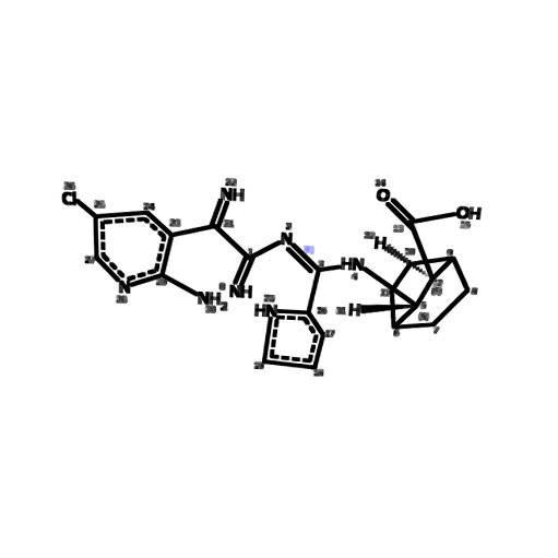 N=C(/N=C(/N[C@H]1C2CCC(CC2)[C@@H]1C(=O)O)c1ccc[nH]1)C(=N)c1cc(Cl)cnc1N